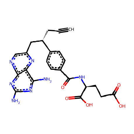 C#CC[C@@H](Cc1cnc2nc(N)nc(N)c2n1)c1ccc(C(=O)N[C@@H](CCC(=O)O)C(=O)O)cc1